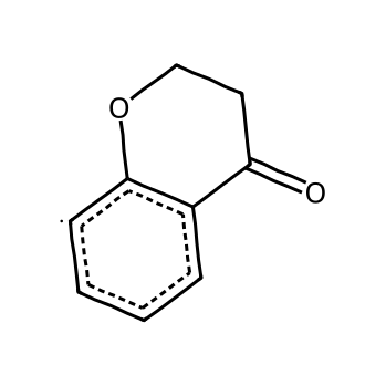 O=C1CCOc2[c]cccc21